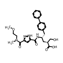 COCCN(C)C(=O)c1cc(C(=O)N[C@H](Cc2ccc(-c3ccccc3)cc2)C[C@@H](CO)C(=O)O)[nH]n1